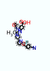 C[C@H](c1nc2ccc(C(=O)O)cc2n1C[C@@H]1CCO1)N1CCC(c2cccc(OCc3ccc(C#N)cc3F)n2)CC1